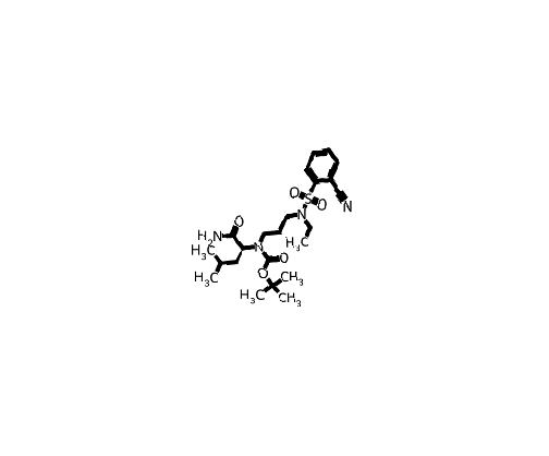 CCN(CCCN(C(=O)OC(C)(C)C)[C@@H](CC(C)C)C(N)=O)S(=O)(=O)c1ccccc1C#N